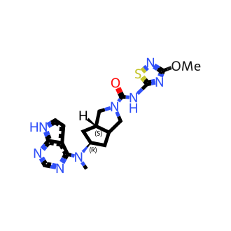 COc1nsc(NC(=O)N2CC3C[C@@H](N(C)c4ncnc5[nH]ccc45)C[C@@H]3C2)n1